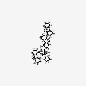 c1ccc(C2NC(c3ccc4sc5c(-c6cccc7c6oc6ccccc67)cccc5c4c3)NC(c3cccc4oc5ccccc5c34)N2)cc1